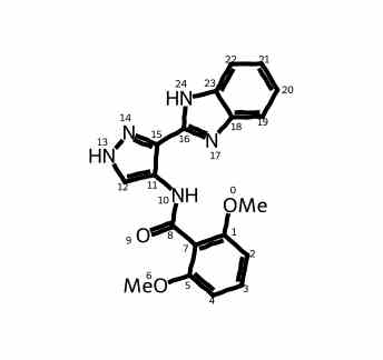 COc1cccc(OC)c1C(=O)Nc1c[nH]nc1-c1nc2ccccc2[nH]1